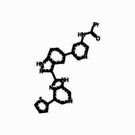 CC(C)C(=O)Nc1cncc(-c2ccc3[nH]nc(-c4nc5c(-c6cccs6)cncc5[nH]4)c3c2)c1